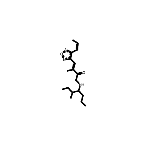 C/C=C\c1nonc1/C=C(\C)C(=O)CNC(CCC)C(C)CC